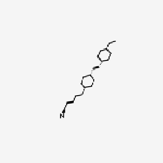 CC[C@H]1CC[C@H](C=C[C@H]2CC[C@H](CCC=CC#N)CC2)CC1